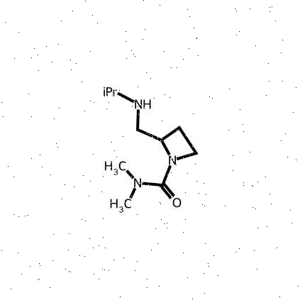 CC(C)NCC1CCN1C(=O)N(C)C